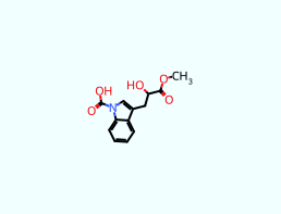 COC(=O)C(O)Cc1cn(C(=O)O)c2ccccc12